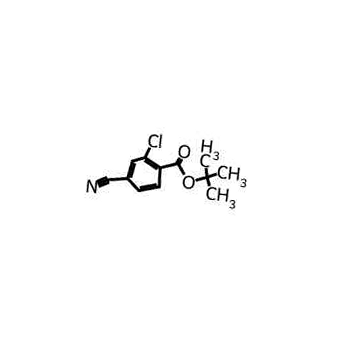 CC(C)(C)OC(=O)c1ccc(C#N)cc1Cl